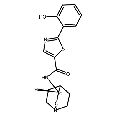 O=C(N[C@H]1CN2CCC1CC2)c1cnc(-c2ccccc2O)s1